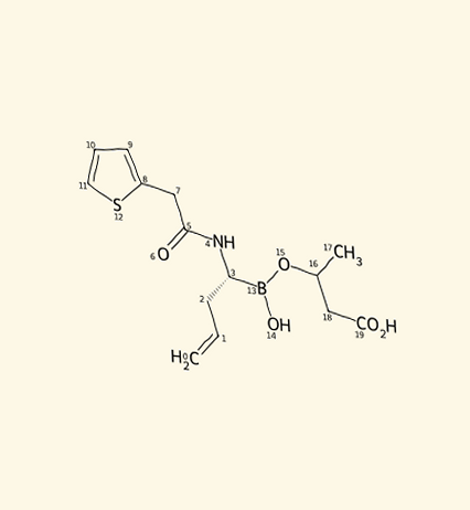 C=CC[C@H](NC(=O)Cc1cccs1)B(O)OC(C)CC(=O)O